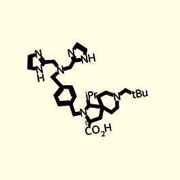 CC(C)C1N(Cc2ccc(CN(Cc3ncc[nH]3)Cc3ncc[nH]3)cc2)[C@H](C(=O)O)CC12CCN(CC(C)(C)C)CC2